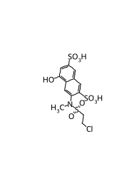 CN(c1cc2c(O)cc(S(=O)(=O)O)cc2cc1S(=O)(=O)O)S(=O)(=O)CCCl